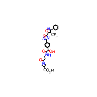 O=C(O)C1CN(C(=O)CCNC(=O)C(O)c2ccc(-c3noc(-c4onc(-c5ccccc5)c4C(F)(F)F)n3)cc2)C1